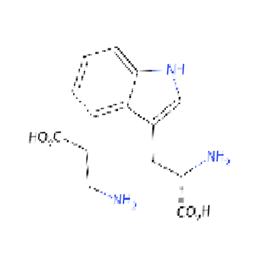 NCCC(=O)O.N[C@@H](Cc1c[nH]c2ccccc12)C(=O)O